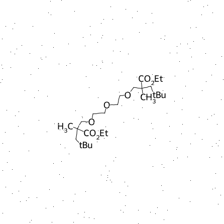 CCOC(=O)C(C)(COCCOCCOCC(C)(CC(C)(C)C)C(=O)OCC)CC(C)(C)C